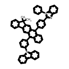 CC1(C)c2ccccc2-c2cc3c(-c4cccc(-n5c6ccccc6c6ccccc65)c4)c4ccccc4c(-c4ccc(-c5nc6ccccc6n5-c5ccccc5)cc4)c3cc21